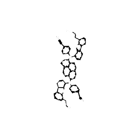 CCCc1cccc2c1OC1=C(N(c3ccc(C#N)cc3)c3ccc4ccc5c(N(c6ccc(C#N)cc6)c6cccc7c6oc6c(CCC)cccc67)ccc6ccc3c4c65)C=CCC12